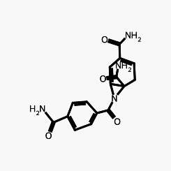 NC(=O)C1=CCC2(C(N)=O)C(=C1)N2C(=O)c1ccc(C(N)=O)cc1